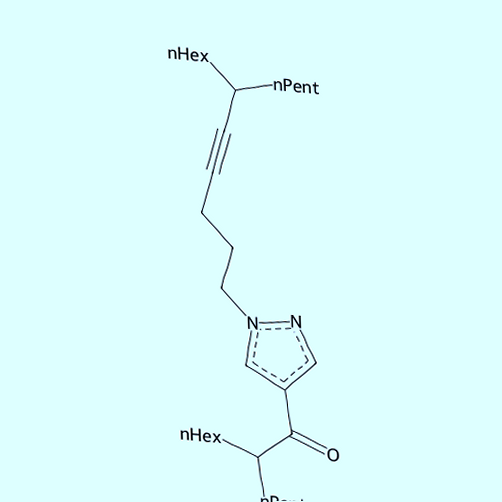 CCCCCCC(C#CCCCn1cc(C(=O)C(CCCCC)CCCCCC)cn1)CCCCC